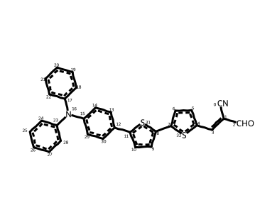 N#C/C(C=O)=C\c1ccc(-c2ccc(-c3ccc(N(c4ccccc4)c4ccccc4)cc3)s2)s1